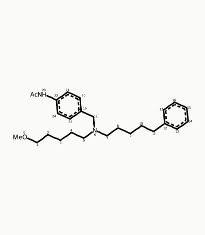 COCCCCCN(CCCCCc1ccccc1)Cc1ccc(NC(C)=O)cc1